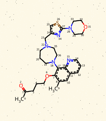 CC(=O)CCCOc1c(C)cc2cccnc2c1N1CCCN(Cc2csc(N3CCOCC3)n2)CC1